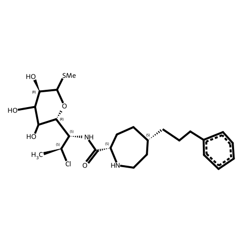 CSC1O[C@H]([C@H](NC(=O)[C@@H]2CC[C@H](CCCc3ccccc3)CCN2)[C@H](C)Cl)C(O)C(O)[C@H]1O